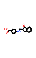 O=C(O)c1ccc(N/C=C2\Cc3ccccc3C2=O)cc1